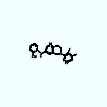 Cc1cnnc(N2CCc3ncc(Nc4ccccc4C#N)cc3C2)c1C